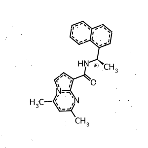 Cc1cc(C)n2ccc(C(=O)N[C@H](C)c3cccc4ccccc34)c2n1